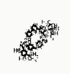 CC(C)C[C@H](NC(=O)[C@@H](NC(=O)c1cccc(-c2ccccc2)n1)[C@@H](C)OC(=O)N1CCN(Cc2ccc(-n3c(O)nnc3-c3cc(C(C)C)c(O)cc3O)cc2)CC1)B(O)O